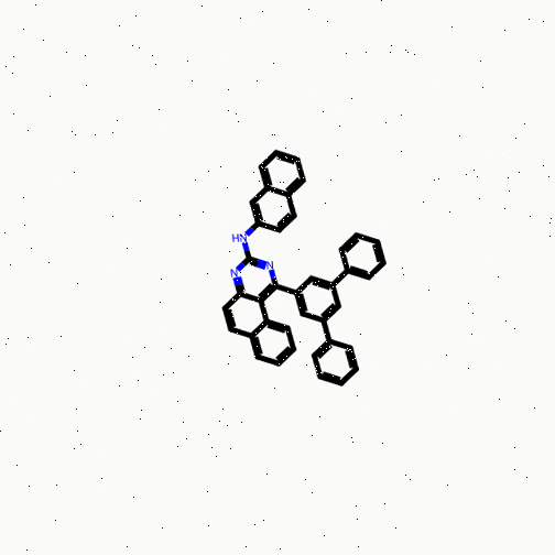 c1ccc(-c2cc(-c3ccccc3)cc(-c3nc(Nc4ccc5ccccc5c4)nc4ccc5ccccc5c34)c2)cc1